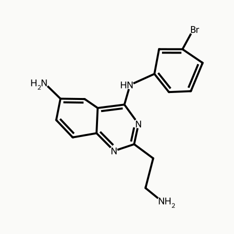 NCCc1nc(Nc2cccc(Br)c2)c2cc(N)ccc2n1